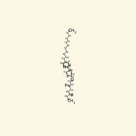 CCCCCCCCCCCCc1cnc(-c2ccc(OCCC(F)CCC(F)CC)cc2)nc1